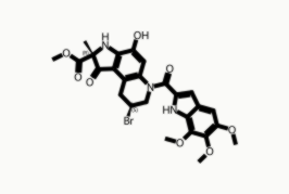 COC(=O)[C@]1(C)Nc2c(O)cc3c(c2C1=O)C[C@H](Br)CN3C(=O)c1cc2cc(OC)c(OC)c(OC)c2[nH]1